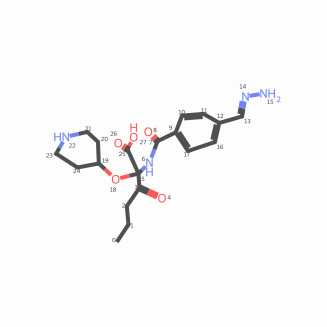 CCCC(=O)C(NC(=O)c1ccc(C=NN)cc1)(OC1CCNCC1)C(=O)O